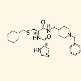 O=C(N[C@@H](CSCC1CCCCC1)C(=O)NCC1CCN(Cc2ccccc2)CC1)[C@@H]1CSCN1